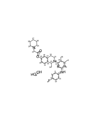 Cc1nc(Nc2ccc(F)cc2)nc(N2CCc3cc(OC(=O)CN4CCCCC4)ccc3C2C)c1C.Cl.Cl